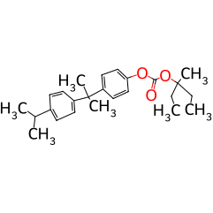 CCC(C)(CC)OC(=O)Oc1ccc(C(C)(C)c2ccc(C(C)C)cc2)cc1